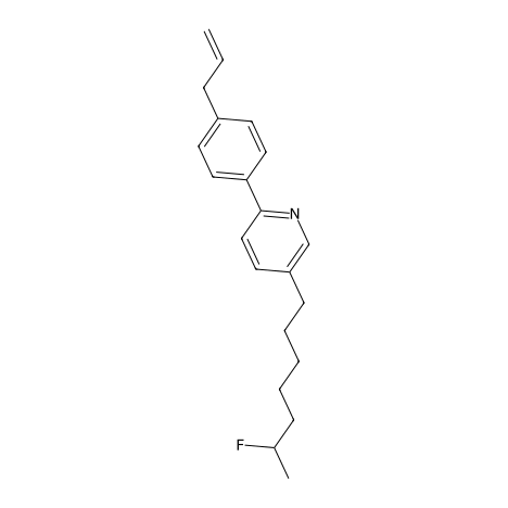 C=CCc1ccc(-c2ccc(CCCCCC(C)F)cn2)cc1